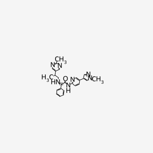 Cc1ncc(C(C)CN[C@H](C(=O)Nc2ccc(-c3cnn(C)c3)cn2)c2ccccc2)cn1